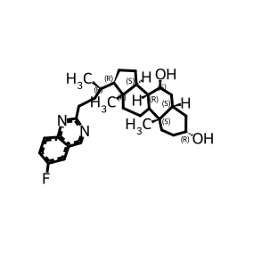 C[C@H](CCc1ncc2cc(F)ccc2n1)[C@H]1CC[C@H]2[C@H]3C(CC[C@]12C)[C@@]1(C)CC[C@@H](O)C[C@H]1C[C@@H]3O